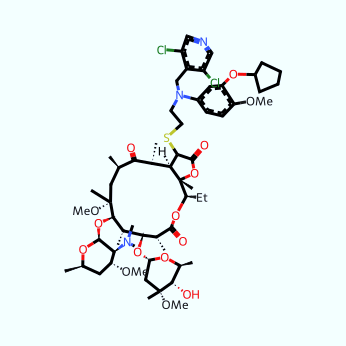 CC[C@H]1OC(=O)[C@H](C)[C@@H](O[C@H]2C[C@@](C)(OC)[C@@H](O)[C@H](C)O2)[C@H](C)[C@@H](O[C@@H]2O[C@H](C)C[C@@H](OC)[C@@H]2N(C)C)[C@](C)(OC)C[C@@H](C)C(=O)[C@H](C)[C@H]2C(SCCN(Cc3c(Cl)cncc3Cl)c3ccc(OC)c(OC4CCCC4)c3)C(=O)O[C@@]21C